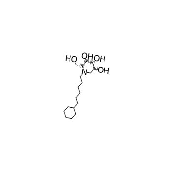 OC[C@@H]1[C@@H](O)[C@H](O)[C@@H](O)CN1CCCCCCC1CCCCC1